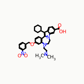 CN(C)CCN1CCn2c(c(C3CCCCC3)c3ccc(C(=O)O)cc32)-c2ccc(OCc3cccc([N+](=O)[O-])c3)cc21